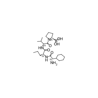 CCC[C@H](NC(=O)[C@@H](N)C1CCCCC1)C(=O)N[C@H](C(=O)N1CCC[C@H]1B(O)O)C(C)C